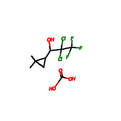 CC1(C)CC1C(O)C(Cl)(Cl)C(F)(F)F.O=C(O)O